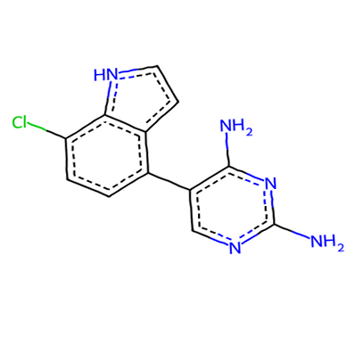 Nc1ncc(-c2ccc(Cl)c3[nH]ccc23)c(N)n1